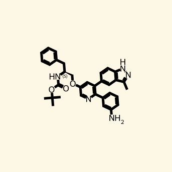 Cc1n[nH]c2ccc(-c3cc(OC[C@H](Cc4ccccc4)NC(=O)OC(C)(C)C)cnc3-c3cccc(N)c3)cc12